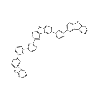 c1cc(-c2cccc(-c3ccc4oc5ncccc5c4c3)c2)cc(-c2ccc3oc4ccc(-c5cccc(-c6ccc7oc8ccccc8c7c6)c5)cc4c3c2)c1